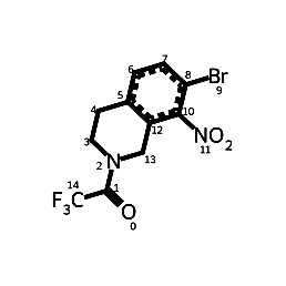 O=C(N1CCc2ccc(Br)c([N+](=O)[O-])c2C1)C(F)(F)F